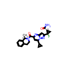 C[C@@H]1c2ccccc2CCN1C(=O)c1cc(C2CC2)n2nc([C@@]3(F)C[C@H]3C(N)=O)cc2n1